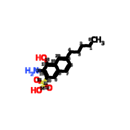 CCCCCc1ccc2cc(S(=O)(=O)O)c(N)c(O)c2c1